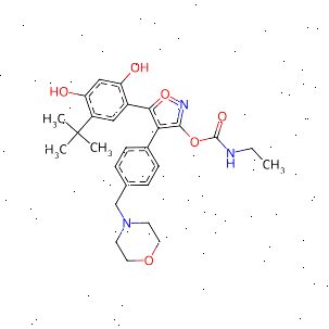 CCNC(=O)Oc1noc(-c2cc(C(C)(C)C)c(O)cc2O)c1-c1ccc(CN2CCOCC2)cc1